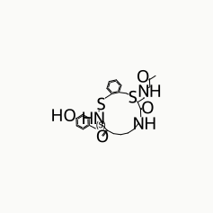 CC(=O)CNCC1SCc2ccccc2CSCN[C@@H](Cc2ccc(O)cc2)C(=O)CCCCNCC1=O